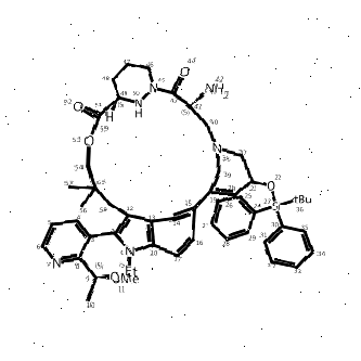 CCn1c(-c2cccnc2[C@H](C)OC)c2c3cc(ccc31)C1=CC(O[Si](c3ccccc3)(c3ccccc3)C(C)(C)C)CN(C1)C[C@H](N)C(=O)N1CCC[C@H](N1)C(=O)OCC(C)(C)C2